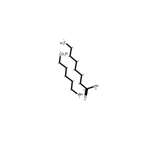 CC(C)(C)CCCCCC(=O)O.CCCCCCCC(=O)O